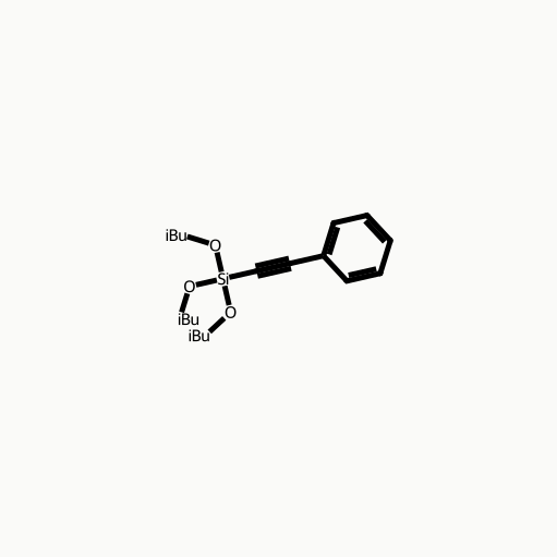 CCC(C)O[Si](C#Cc1ccccc1)(OC(C)CC)OC(C)CC